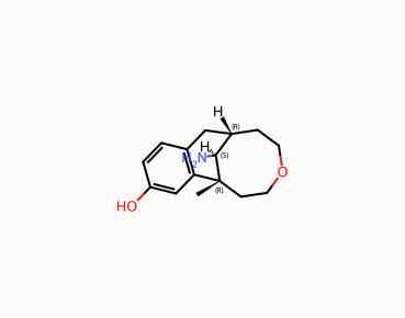 C[C@@]12CCOCC[C@@H](Cc3ccc(O)cc31)[C@@H]2N